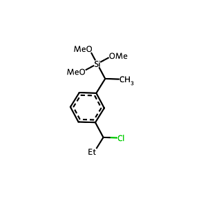 CCC(Cl)c1cccc(C(C)[Si](OC)(OC)OC)c1